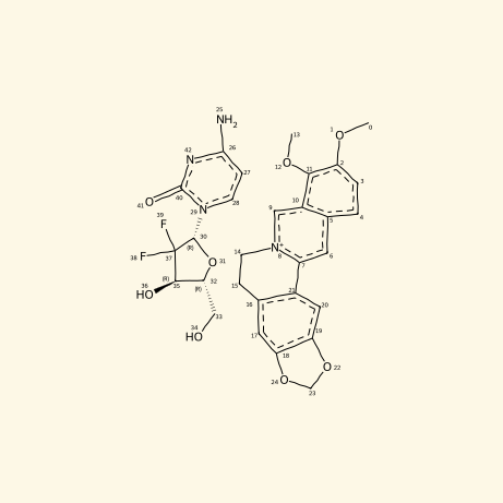 COc1ccc2cc3[n+](cc2c1OC)CCc1cc2c(cc1-3)OCO2.Nc1ccn([C@@H]2O[C@H](CO)[C@@H](O)C2(F)F)c(=O)n1